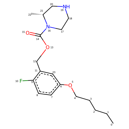 CCCCCOc1ccc(F)c(COC(=O)N2CCNC[C@H]2C)c1